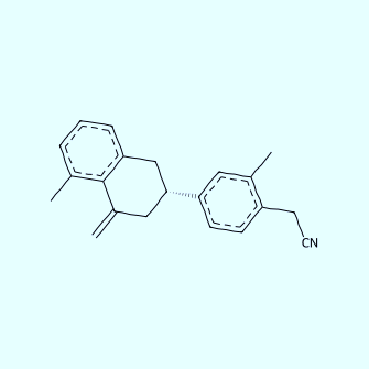 C=C1C[C@@H](c2ccc(CC#N)c(C)c2)Cc2cccc(C)c21